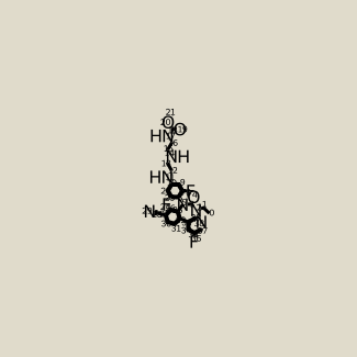 CCN1C(=O)N(c2c(F)cc(NCCNCCNC(=O)OC)cc2F)c2cc(C#N)ccc2-c2cc(F)cnc21